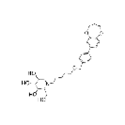 OCC1[C@@H](O)[C@H](O)[C@@H](O)CN1CCCCCOCc1ccc(-c2ccc3c(c2)OCCCO3)cc1